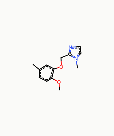 COc1ccc(C)cc1OCc1nccn1C